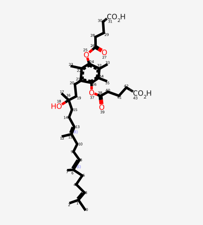 CC(C)=CCC/C(C)=C/CC/C(C)=C/CCC(C)(O)CCc1c(C)c(OC(=O)CCCC(=O)O)c(C)c(C)c1OC(=O)CCCC(=O)O